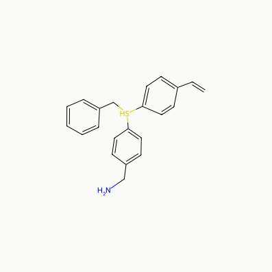 C=Cc1ccc([SH](Cc2ccccc2)c2ccc(CN)cc2)cc1